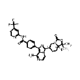 CC1(C)OC(=O)N2C[C@H](c3nc(-c4ccc(C(=O)Nc5cc(C(F)(F)F)ccn5)cc4)c4c(N)nccn34)CC[C@H]21